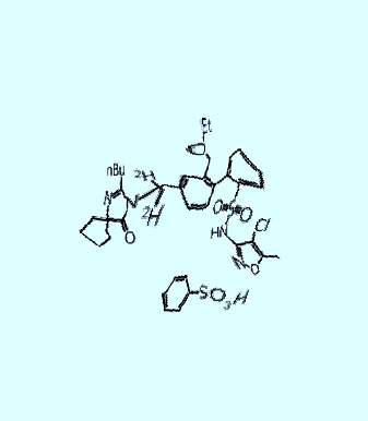 O=S(=O)(O)c1ccccc1.[2H]C([2H])(c1ccc(-c2ccccc2S(=O)(=O)Nc2noc(C)c2Cl)c(COCC)c1)N1C(=O)C2(CCCC2)N=C1CCCC